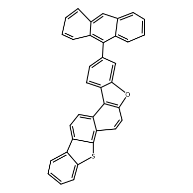 c1ccc2c(-c3ccc4c(c3)oc3ccc5c(ccc6c7ccccc7sc65)c34)c3ccccc3cc2c1